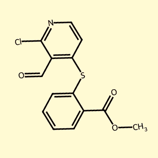 COC(=O)c1ccccc1Sc1ccnc(Cl)c1C=O